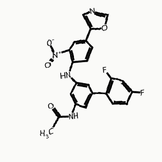 CC(=O)Nc1cc(Nc2ccc(-c3cnco3)cc2[N+](=O)[O-])cc(-c2ccc(F)cc2F)c1